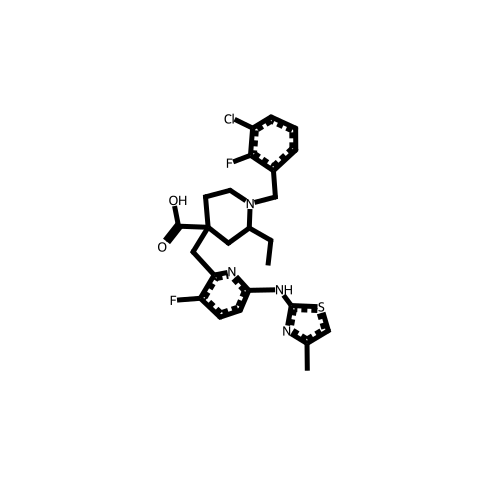 CCC1CC(Cc2nc(Nc3nc(C)cs3)ccc2F)(C(=O)O)CCN1Cc1cccc(Cl)c1F